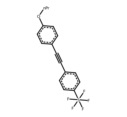 CCCOc1ccc(C#Cc2ccc(S(F)(F)(F)(F)F)cc2)cc1